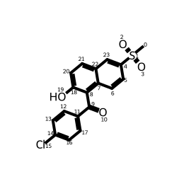 CS(=O)(=O)c1ccc2c(C(=O)c3ccc(Cl)cc3)c(O)ccc2c1